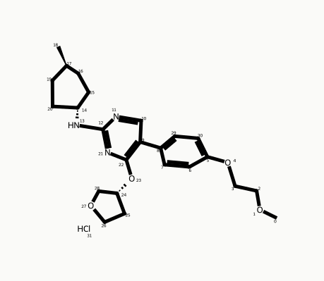 COCCOc1ccc(-c2cnc(N[C@H]3CC[C@H](C)CC3)nc2O[C@@H]2CCOC2)cc1.Cl